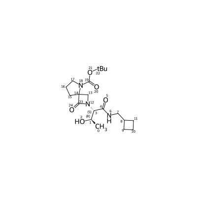 C[C@@H](O)[C@@H](C(=O)NCC1CCC1)N1CC2(CCCN2C(=O)OC(C)(C)C)C1=O